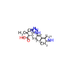 Cc1cc(C[C@H](c2nnn[nH]2)C(C(=O)O)C(C)C)ccc1C1=CCNC1